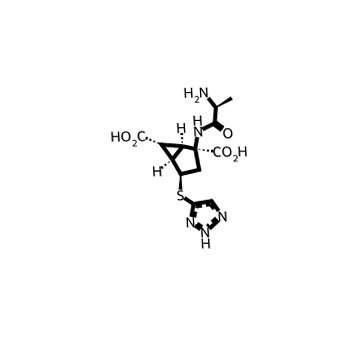 C[C@H](N)C(=O)N[C@@]1(C(=O)O)C[C@@H](Sc2cn[nH]n2)[C@H]2[C@H](C(=O)O)[C@H]21